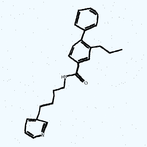 CCCc1cc(C(=O)NCCCCc2cccnc2)ccc1-c1ccccc1